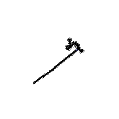 COCCOCCOCCOCCOCCOCCOCCOCCOCCOCCOCCOCCOCCOCCOCCOCCOC/C=C/c1cc(NC(=O)[C@H](C)NC(=O)[C@@H](NC(=O)CN2C(=O)[C@@H](N3C(=O)C=CC3=O)C[C@H]2COCCS(=O)(=O)O)C(C)C)ccc1COC(=O)C(C)(C)C